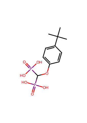 CC(C)(C)c1ccc(OC(P(=O)(O)O)P(=O)(O)O)cc1